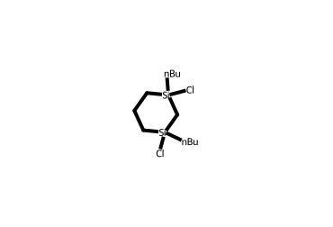 CCCC[Si]1(Cl)CCC[Si](Cl)(CCCC)C1